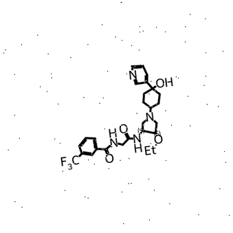 CCO[C@H]1CN(C2CCC(O)(c3cccnc3)CC2)C[C@@H]1NC(=O)CNC(=O)c1cccc(C(F)(F)F)c1